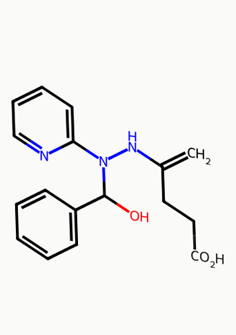 C=C(CCC(=O)O)NN(c1ccccn1)C(O)c1ccccc1